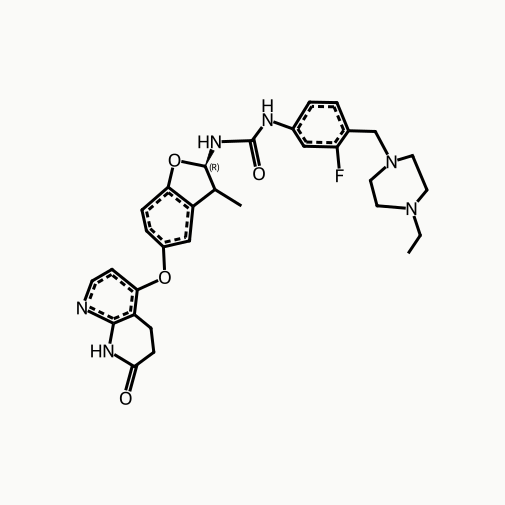 CCN1CCN(Cc2ccc(NC(=O)N[C@@H]3Oc4ccc(Oc5ccnc6c5CCC(=O)N6)cc4C3C)cc2F)CC1